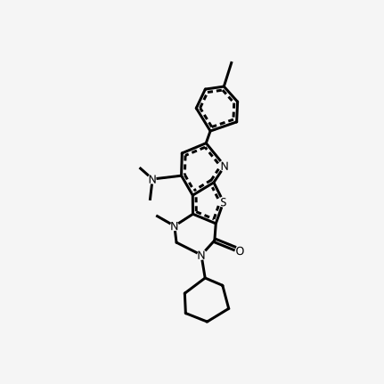 Cc1ccc(-c2cc(N(C)C)c3c4c(sc3n2)C(=O)N(C2CCCCC2)CN4C)cc1